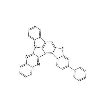 c1ccc(-c2ccc3c(c2)sc2cc4c5ccccc5n5c6nc7ccccc7nc6c(c23)c45)cc1